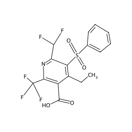 CCc1c(C(=O)O)c(C(F)(F)F)nc(C(F)F)c1S(=O)(=O)c1ccccc1